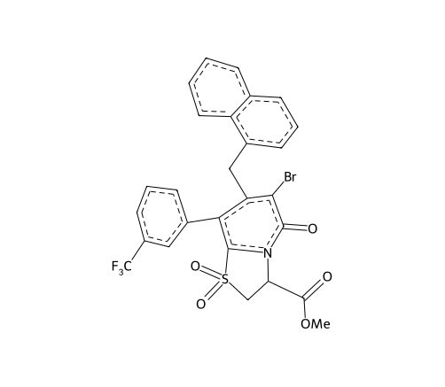 COC(=O)C1CS(=O)(=O)c2c(-c3cccc(C(F)(F)F)c3)c(Cc3cccc4ccccc34)c(Br)c(=O)n21